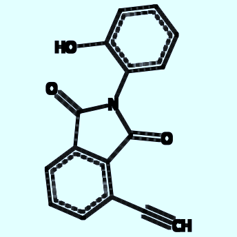 C#Cc1cccc2c1C(=O)N(c1ccccc1O)C2=O